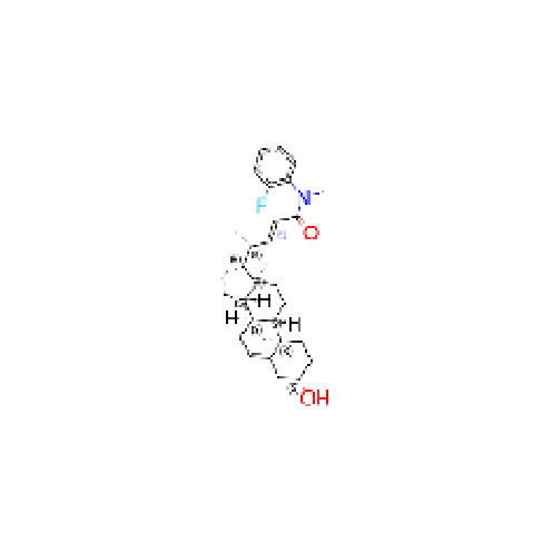 C[C@H](/C=C/C(=O)N(C)c1ccccc1F)[C@H]1CC[C@H]2[C@@H]3CC=C4C[C@@H](O)CC[C@]4(C)[C@H]3CC[C@]12C